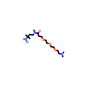 CN(C)CCOCCOCCOCCC(=O)N(C)CCC(C)(C)NCl